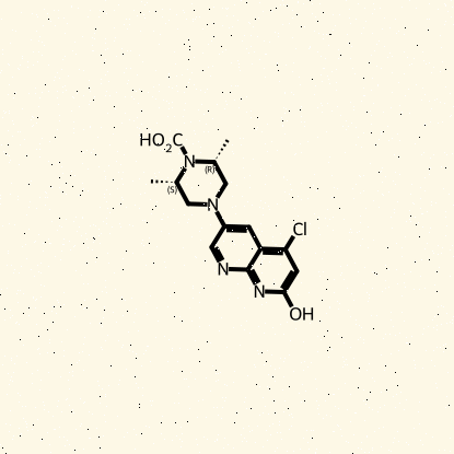 C[C@@H]1CN(c2cnc3nc(O)cc(Cl)c3c2)C[C@H](C)N1C(=O)O